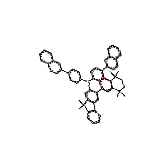 CC1(C)CCC(C)(C)c2cc(-c3cc4c(cc3N(c3ccc(-c5ccc6ccccc6c5)cc3)c3ccc(-c5ccc6ccccc6c5)cc3)C(C)(C)c3ccccc3-4)ccc21